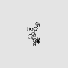 Oc1cc(-n2cccn2)ccc1-c1cc2c(nn1)N([C@@H]1C[C@H]3CC(F)(F)[C@@H](C1)N3)CCCC2